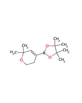 CC1(C)C=C(B2OC(C)(C)C(C)(C)O2)CCO1